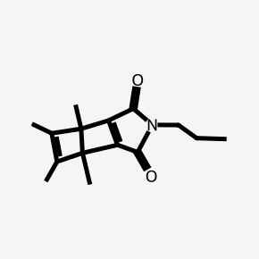 CCCN1C(=O)C2=C(C1=O)C1(C)C(C)=C(C)C21C